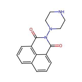 O=C1c2cccc3cccc(c23)C(=O)N1N1CCNCC1